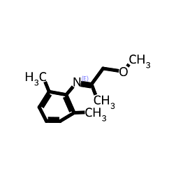 COC/C(C)=N/c1c(C)cccc1C